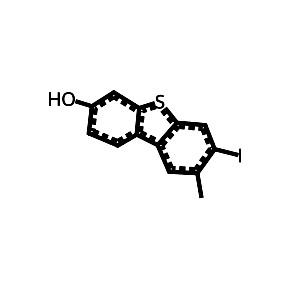 Cc1cc2c(cc1I)sc1cc(O)ccc12